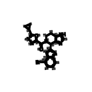 O=C(c1nnc(C2CC2)o1)N1CCc2[nH]cnc2[C@H]1c1cc2c(Br)cccn2n1